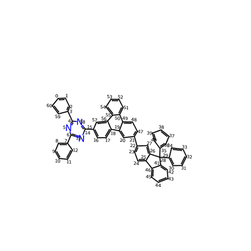 c1ccc(-c2nc(-c3ccccc3)nc(-c3ccc4c5cc(-c6ccc7c(c6)C(c6ccccc6)(c6ccccc6)c6ccccc6-7)ccc5c5ccccc5c4c3)n2)cc1